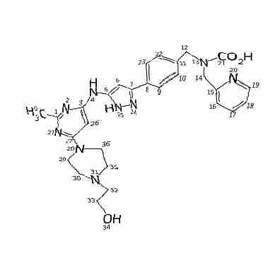 Cc1nc(Nc2cc(-c3ccc(CN(Cc4ccccn4)C(=O)O)cc3)n[nH]2)cc(N2CCN(CCO)CC2)n1